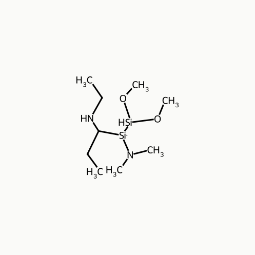 CCNC(CC)[Si](N(C)C)[SiH](OC)OC